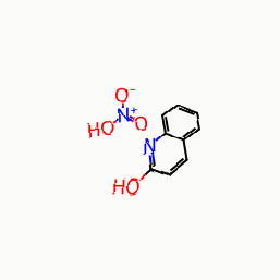 O=[N+]([O-])O.Oc1ccc2ccccc2n1